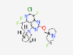 Fc1c(Cl)nc2c3c(nc(OC[C@@]45CCCN4C[C@H](F)C5)nc13)N1C[C@H]3CC[C@H](C3)[C@H]1CC2(F)F